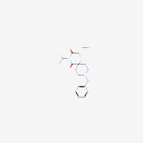 CC(C)C[C@@H]1NC2(CCN(Cc3ccccc3)CC2)C(=O)N(C(C)C(=O)O)C1=O